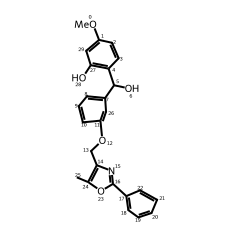 COc1ccc(C(O)c2cccc(OCc3nc(-c4ccccc4)oc3C)c2)c(O)c1